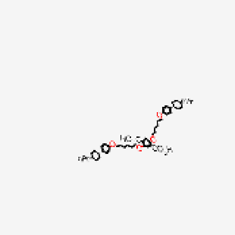 CCC[C@H]1CC[C@H](c2ccc(OCCCCCCOc3cc(C(=O)O)c(OCCCCCCOc4ccc([C@H]5CC[C@H](CCC)CC5)cc4)cc3C(=O)O)cc2)CC1